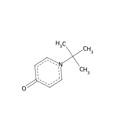 CC(C)(C)n1ccc(=O)cc1